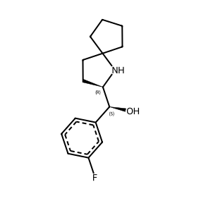 O[C@@H](c1cccc(F)c1)[C@H]1CCC2(CCCC2)N1